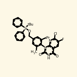 Cc1cc(CO[Si](c2ccccc2)(c2ccccc2)C(C)(C)C)cc(C(C)C)c1-n1c(=O)[nH]c(=O)c2cc(F)c(Cl)nc21